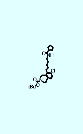 CC(C)(C)OC(=O)N1CCc2ccc(Cl)c(CCCCCNC(=O)C3CCCC3)c2CC1